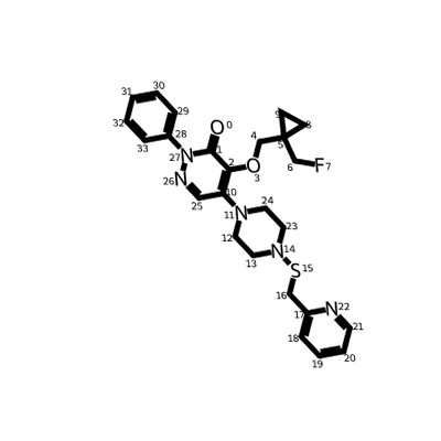 O=c1c(OCC2(CF)CC2)c(N2CCN(SCc3ccccn3)CC2)cnn1-c1ccccc1